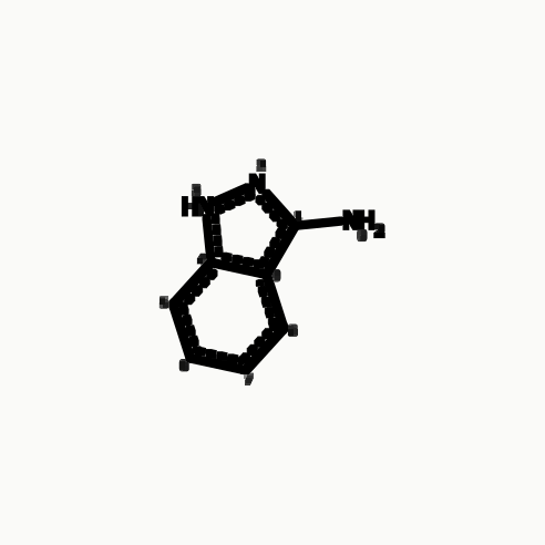 Nc1n[nH]c2[c]cccc12